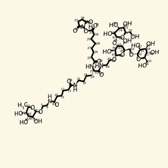 C[C@@H]1O[C@@H](OCCNC(=O)CCCCC(=O)NCCCC[C@H](NC(=O)CCCCCCC(=O)ON2C(=O)CCC2O)C(=O)NCCO[C@H]2O[C@H](CO[C@H]3O[C@H](CO)[C@@H](O)[C@H](O)[C@@H]3O)[C@@H](O)[C@H](O[C@H]3O[C@H](CO)[C@@H](O)[C@H](O)[C@@H]3O)[C@@H]2O)[C@@H](O)[C@H](O)[C@@H]1O